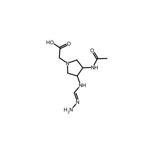 CC(=O)NC1CN(CC(=O)O)CC1NC=NN